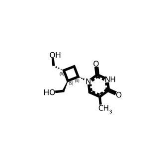 Cc1cn([C@H]2C[C@@H](CO)[C@@H]2CO)c(=O)[nH]c1=O